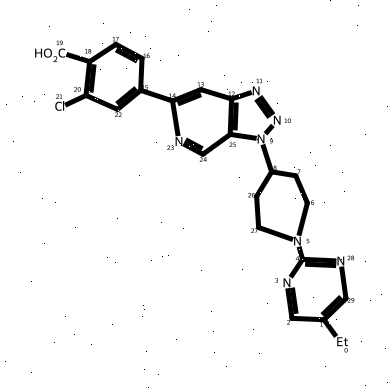 CCc1cnc(N2CCC(n3nnc4cc(-c5ccc(C(=O)O)c(Cl)c5)ncc43)CC2)nc1